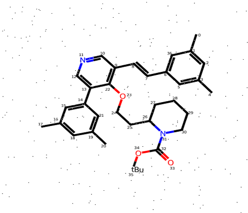 Cc1cc(C)cc(C=Cc2cncc(-c3cc(C)cc(C)c3)c2OCCC2CCCCN2C(=O)OC(C)(C)C)c1